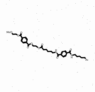 COCCOC(=O)c1ccc(C(=O)OCCOC(=O)CCCCCNC(=O)c2ccc(C(=O)NCCCCCC(C)=O)cc2)cc1